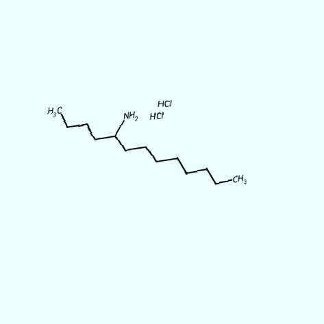 CCCCCCCCC(N)CCCC.Cl.Cl